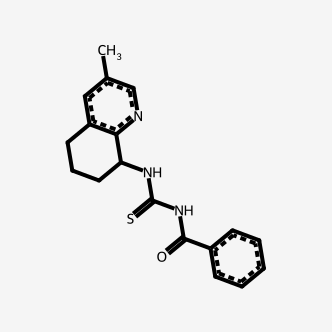 Cc1cnc2c(c1)CCCC2NC(=S)NC(=O)c1ccccc1